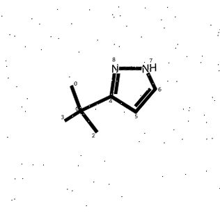 [CH2]C(C)(C)c1cc[nH]n1